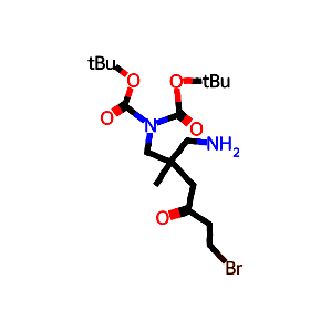 CC(CN)(CC(=O)CCBr)CN(C(=O)OC(C)(C)C)C(=O)OC(C)(C)C